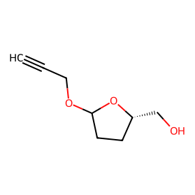 C#CCOC1CC[C@@H](CO)O1